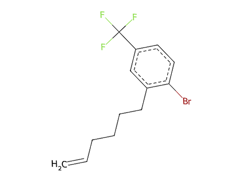 C=CCCCCc1cc(C(F)(F)F)ccc1Br